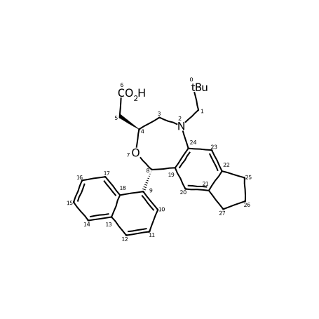 CC(C)(C)CN1C[C@H](CC(=O)O)O[C@@H](c2cccc3ccccc23)c2cc3c(cc21)CCC3